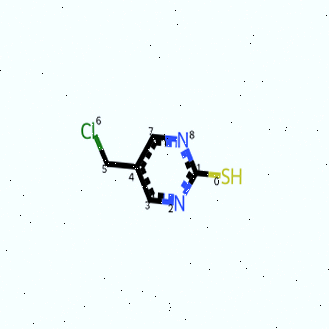 Sc1ncc(CCl)cn1